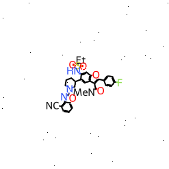 CCS(=O)(=O)Nc1cc2oc(-c3ccc(F)cc3)c(C(=O)NC)c2cc1C1CCCN(c2nc3c(C#N)cccc3o2)C1